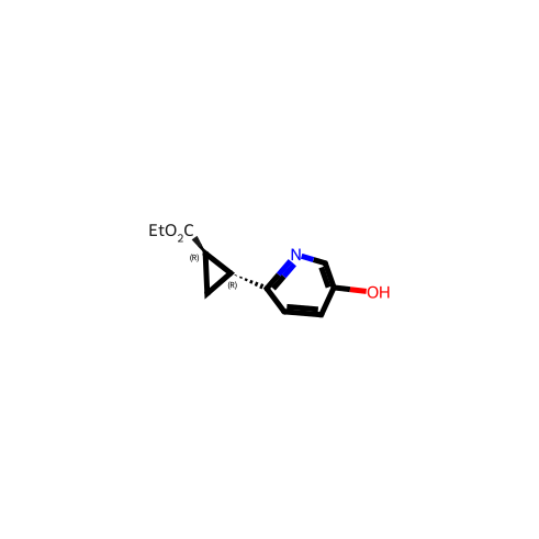 CCOC(=O)[C@@H]1C[C@H]1c1ccc(O)cn1